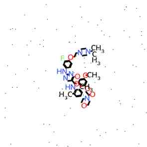 COc1cc(OCC(=O)N2CCOCC2)ccc1Oc1nc(Nc2ccc(OCCN3CCN(C(C)C)CC3)c(F)c2)ncc1C(=O)Nc1c(C)cccc1C